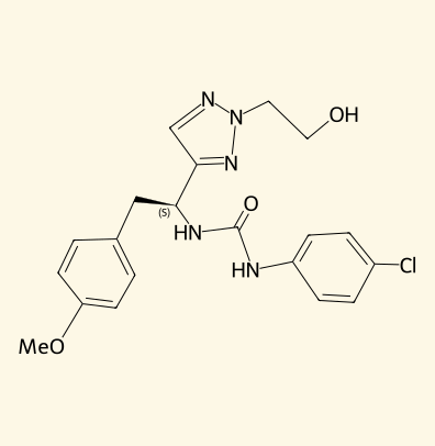 COc1ccc(C[C@H](NC(=O)Nc2ccc(Cl)cc2)c2cnn(CCO)n2)cc1